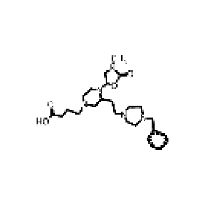 CN1CC(N2CCN(CCCC(=O)O)CC2CCN2CCN(Cc3ccccc3)CC2)OC1=O